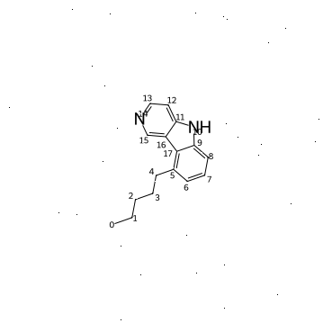 CCCCCc1cccc2[nH]c3ccncc3c12